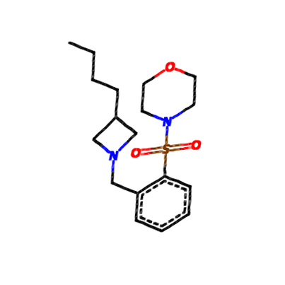 CCCCC1CN(Cc2ccccc2S(=O)(=O)N2CCOCC2)C1